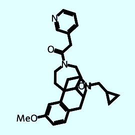 COc1ccc2c(c1)C13CCN(C(=O)Cc4cccnc4)CCC1(O)C(C2)N(CC1CC1)CC3